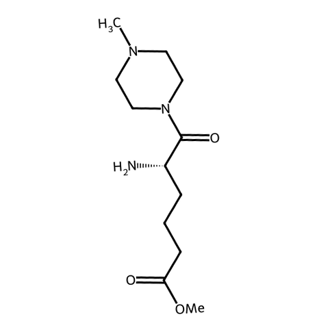 COC(=O)CCC[C@H](N)C(=O)N1CCN(C)CC1